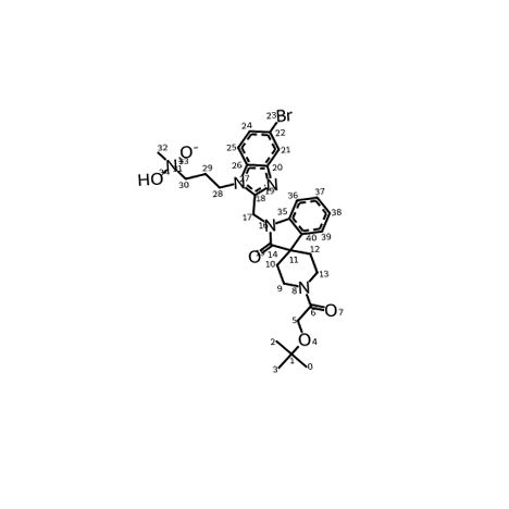 CC(C)(C)OCC(=O)N1CCC2(CC1)C(=O)N(Cc1nc3cc(Br)ccc3n1CCC[N+](C)([O-])O)c1ccccc12